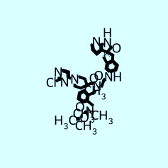 CN(Cc1ccccc1CN(CC(=O)Nc1ccc2c(c1)C[C@@]1(C2)C(=O)Nc2ncccc21)C(=O)C1(C)CCN(c2ccnc(Cl)n2)CC1)C(=O)OC(C)(C)C